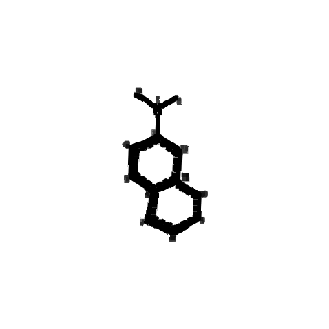 CN(C)c1ccc2ccccc2c1